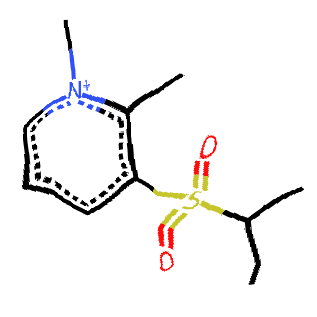 Cc1c(S(=O)(=O)C(C)C)ccc[n+]1C